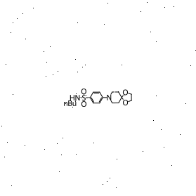 CCCCNS(=O)(=O)c1ccc(N2CCC3(CC2)OCCO3)cc1